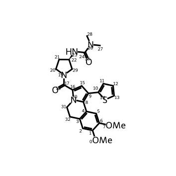 COc1cc2c(cc1OC)-c1c(-c3cccs3)cc(C(=O)N3CC[C@@H](NC(=O)N(C)C)C3)n1CC2